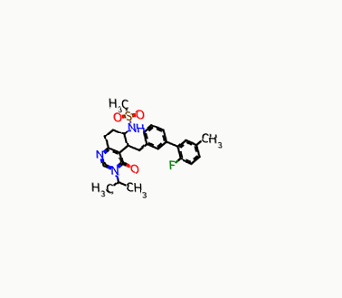 Cc1ccc(F)c(-c2cccc(CC3c4c(ncn(C(C)C)c4=O)CCC3NS(C)(=O)=O)c2)c1